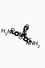 NC(=O)Cc1ccc(NC(=O)N(CCN2CCOCC2)c2ccc3nc(N)sc3c2)cc1